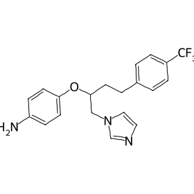 Nc1ccc(OC(CCc2ccc(C(F)(F)F)cc2)Cn2ccnc2)cc1